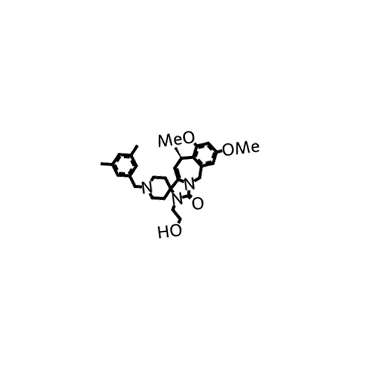 COc1cc2c(c(OC)c1)[C@H](C)C=C1N(C2)C(=O)N(CCO)C12CCN(Cc1cc(C)cc(C)c1)CC2